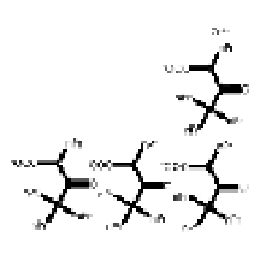 CCCC(C(=O)[O-])C(=O)C(CCC)(CCC)CCC.CCCC(C(=O)[O-])C(=O)C(CCC)(CCC)CCC.CCCC(C(=O)[O-])C(=O)C(CCC)(CCC)CCC.CCCC(C(=O)[O-])C(=O)C(CCC)(CCC)CCC.[Zr+4]